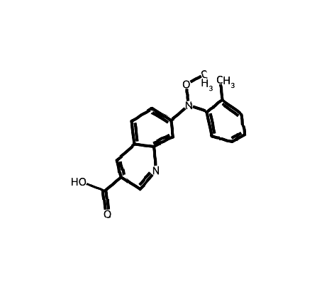 CON(c1ccc2cc(C(=O)O)cnc2c1)c1ccccc1C